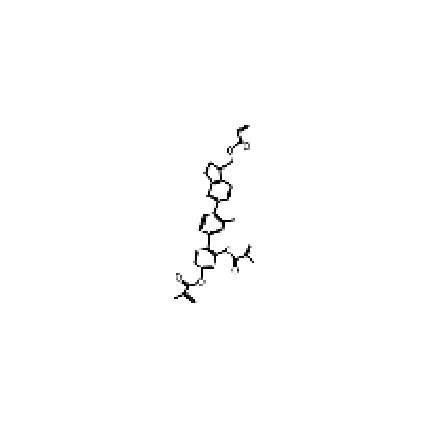 C=CC(=O)OCC1CCc2cc(-c3ccc(-c4ccc(OC(=O)C(=C)C)cc4OC(=O)C(=C)C)cc3C)ccc21